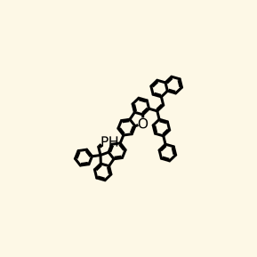 P=CC1(c2ccccc2)c2ccccc2-c2ccc(-c3ccc4c(c3)oc3c(/C(=C\c5cccc6ccccc56)c5ccc(-c6ccccc6)cc5)cccc34)cc21